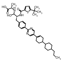 CCCC1CCC(C2CC=C(c3cnc(-c4ccc(C[C@H](NC(=O)c5ccc(C(C)(C)C)s5)C(O)N[C@H](C)C(=O)O)cc4)nc3)CC2)CC1